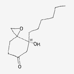 CCCCCC[C@@]1(O)CC(=O)CCC12CO2